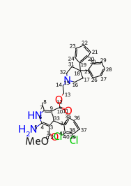 COC(=O)C1=C(N)NC(C)=C(C(=O)OCCN2CCC(c3ccccc3)(c3ccccc3)CC2)C1c1cccc(Cl)c1Cl